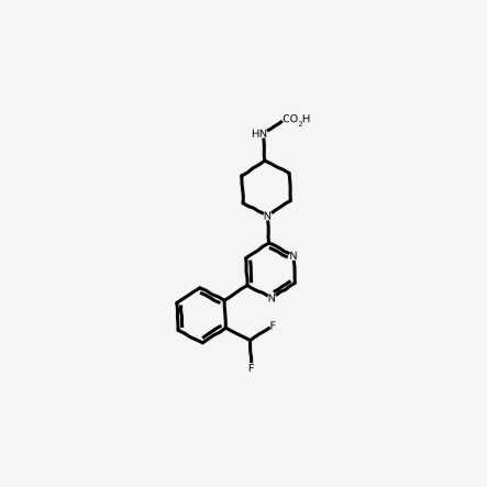 O=C(O)NC1CCN(c2cc(-c3ccccc3C(F)F)ncn2)CC1